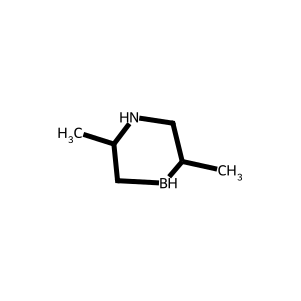 CC1BCC(C)NC1